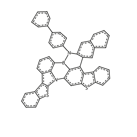 c1ccc(-c2ccc(N3B4c5c(cc6sc7ccccc7c6c5-c5cc6ccccc6cc53)-n3c5sc6ccccc6c5c5cccc4c53)cc2)cc1